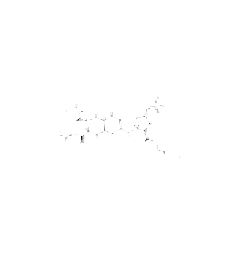 CCOC(=O)C1CC(NS(C)(=O)=O)CN1CC1CCC2CN(C(=O)OC)C(C(=O)OCC)CC2C1